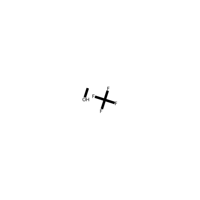 CO.FC(F)(F)F